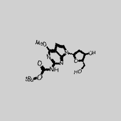 COc1nc(NC(=O)OC(C)(C)C)nc2c1ccn2[C@H]1CC(O)[C@@H](CO)O1